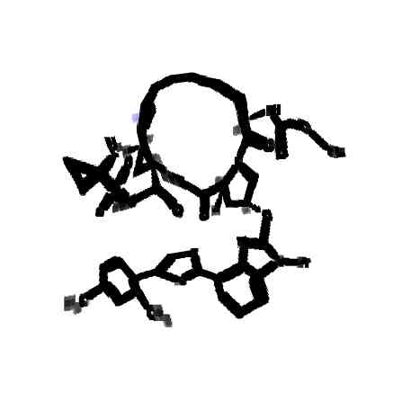 Cc1ccc(-c2csc(-c3cccc4c3nc(O[C@@H]3C[C@H]5C(=O)N[C@]6(C(=O)NS(=O)(=O)C7(C)CC7)C[C@H]6/C=C\CCCCC[C@H](NC(=O)OC(C)(C)C)C(=O)N5C3)n4C(C)C)n2)c(C)c1